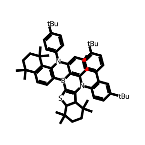 Cc1cc2c3c(c1)N(c1ccc(C(C)(C)C)cc1)c1c(ccc4c1C(C)(C)CCC4(C)C)B3C1=C(C3C(S1)C(C)(C)CCC3(C)C)N2c1ccc(C(C)(C)C)cc1-c1ccc(C(C)(C)C)cc1